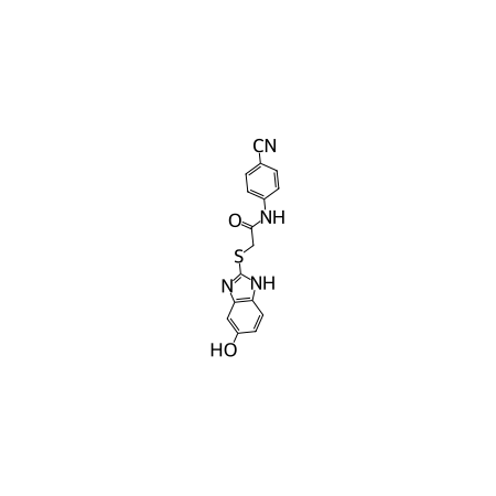 N#Cc1ccc(NC(=O)CSc2nc3cc(O)ccc3[nH]2)cc1